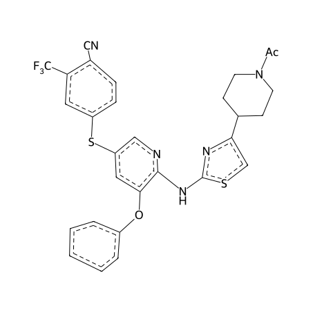 CC(=O)N1CCC(c2csc(Nc3ncc(Sc4ccc(C#N)c(C(F)(F)F)c4)cc3Oc3ccccc3)n2)CC1